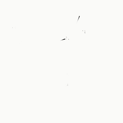 C=CCN1C[C@H](C)N([C@@H](c2cccc(O[Si](C)(C)C(C)(C)C)c2)c2cccc(C(=O)OC)c2)C[C@H]1C